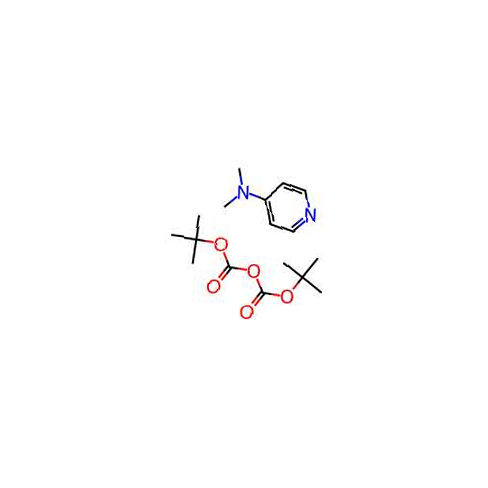 CC(C)(C)OC(=O)OC(=O)OC(C)(C)C.CN(C)c1ccncc1